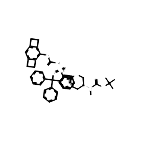 CN(C(=O)OC(C)(C)C)[C@@H]1COc2c([S@](=O)(=NC(c3ccccc3)(c3ccccc3)c3ccccc3)NC(=O)Nc3c4c(cc5c3CC5)CC4)cnn2C1